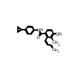 C=C/C=C\c1c(C(=O)Nc2ccc(C3CC3)cc2)ccc(O)c1C